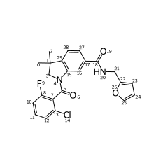 CC1(C)CN(C(=O)c2c(F)cccc2Cl)c2cc(C(=O)NCc3ccco3)ccc21